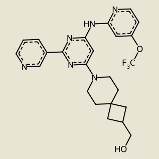 OCC1CC2(CCN(c3cc(Nc4cc(OC(F)(F)F)ccn4)nc(-c4cccnc4)n3)CC2)C1